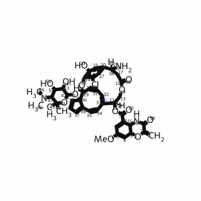 C=C1OC2C=C(OC)C=C(C(=O)O[C@@H]3COC(=O)C[C@@H](N)c4cc(O)c(c(Cl)c4)O[C@@H]4C#C/C=C/3C#CC3=CC=C[C@@]34OC3OC(C)(C)C(N(C)C)C(O)C3O)C2NC1=O